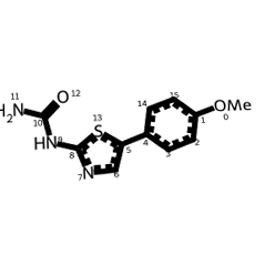 COc1ccc(-c2cnc(NC(N)=O)s2)cc1